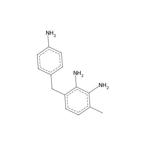 Cc1ccc(Cc2ccc(N)cc2)c(N)c1N